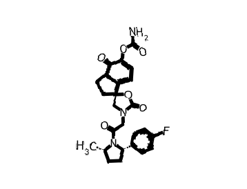 C[C@H]1CC[C@@H](c2ccc(F)cc2)N1C(=O)CN1C[C@]2(CCC3C(=O)C(OC(N)=O)=CC=C32)OC1=O